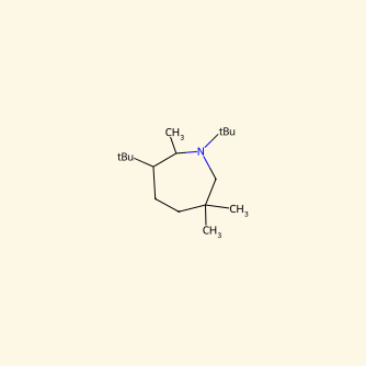 CC1C(C(C)(C)C)CCC(C)(C)CN1C(C)(C)C